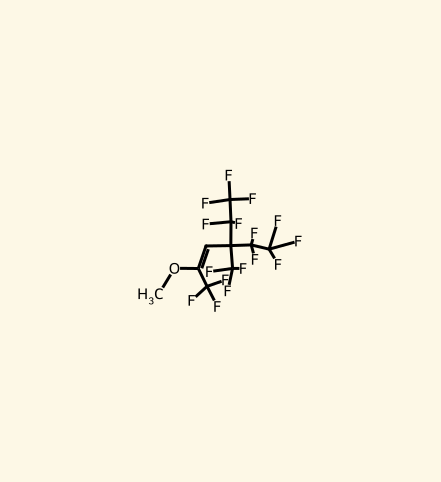 COC(=CC(C(F)(F)F)(C(F)(F)C(F)(F)F)C(F)(F)C(F)(F)F)C(F)(F)F